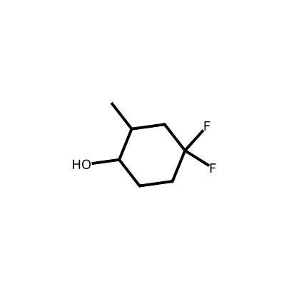 CC1CC(F)(F)CCC1O